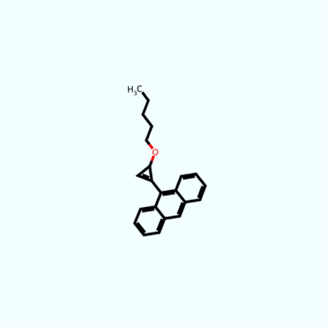 CCCCCOC1C=C1c1c2ccccc2cc2ccccc12